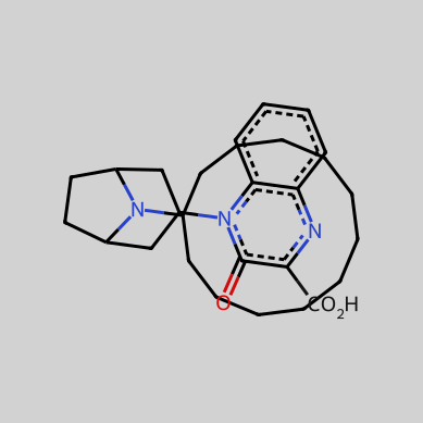 O=C(O)c1nc2ccccc2n(C2CC3CCC(C2)N3C2CCCCCCCCCCC2)c1=O